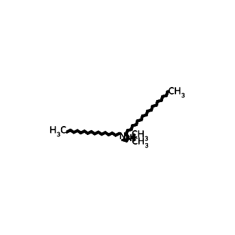 CCCCCCCCCCCCCCCCCCC1N(CCCCCCCCCCCCCCCCC)C=CN1C(C)C